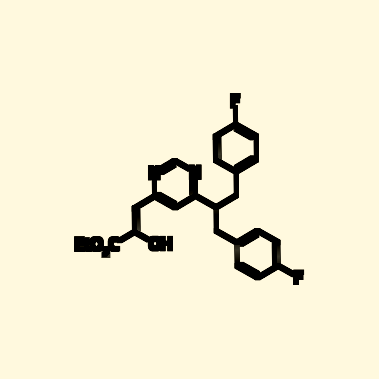 CCOC(=O)C(O)=Cc1cc(C(Cc2ccc(F)cc2)Cc2ccc(F)cc2)ncn1